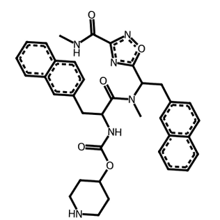 CNC(=O)c1noc(C(Cc2ccc3ccccc3c2)N(C)C(=O)C(Cc2ccc3ccccc3c2)NC(=O)OC2CCNCC2)n1